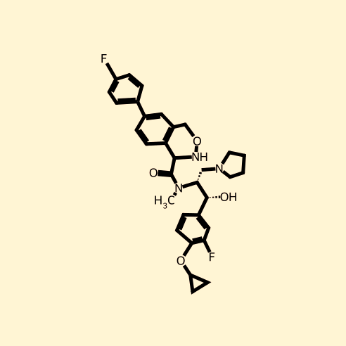 CN(C(=O)C1NOCc2cc(-c3ccc(F)cc3)ccc21)[C@H](CN1CCCC1)[C@H](O)c1ccc(OC2CC2)c(F)c1